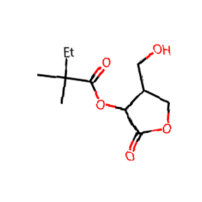 CCC(C)(C)C(=O)OC1C(=O)OCC1CO